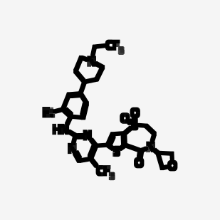 CCc1cc(C2CCN(CC(F)(F)F)CC2)ccc1Nc1ncc(C(F)(F)F)c(-c2cc3c(s2)C(=O)N(C2COC2)CCS3(=O)=O)n1